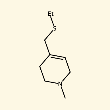 CCSCC1=CCN(C)CC1